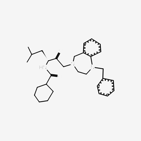 CC(C)C[C@H](NC(=O)C1CCCCC1)C(=O)CN1CCN(Cc2ccccc2)c2ccccc2C1